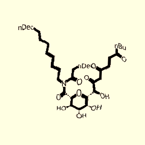 CCCCCCCCCCCCCCCCCCN(C(=O)CCCCCCCCCCC)C(=O)[C@@H]1O[C@H](C(O)C(=O)CC(=O)CCC(=O)CCCC)[C@H](O)[C@H](O)[C@H]1O